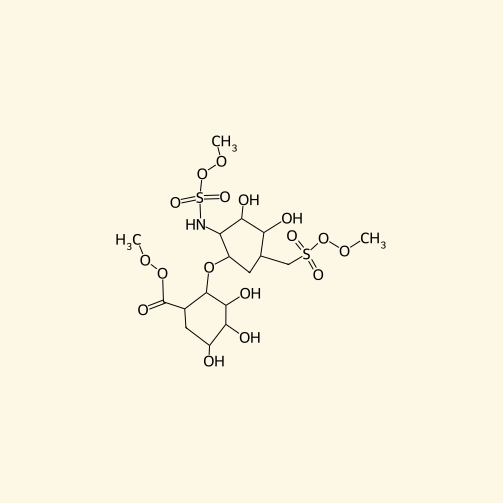 COOC(=O)C1CC(O)C(O)C(O)C1OC1CC(CS(=O)(=O)OOC)C(O)C(O)C1NS(=O)(=O)OOC